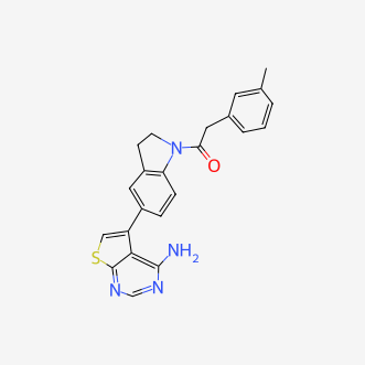 Cc1cccc(CC(=O)N2CCc3cc(-c4csc5ncnc(N)c45)ccc32)c1